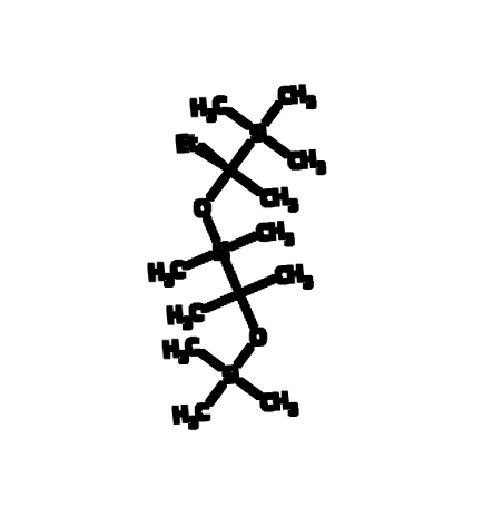 CC[C@@](C)(O[Si](C)(C)C(C)(C)O[Si](C)(C)C)[Si](C)(C)C